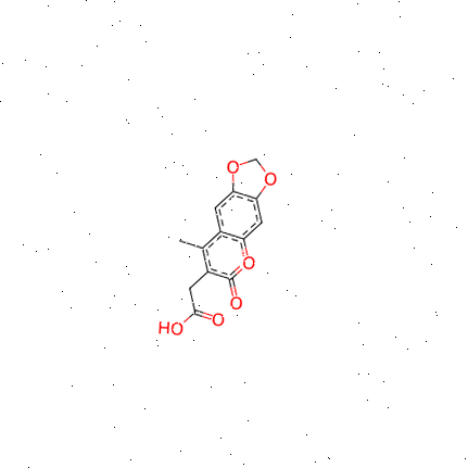 Cc1c(CC(=O)O)c(=O)oc2cc3c(cc12)OCO3